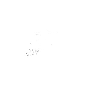 CCC(COC)(COC)C1CCCC1